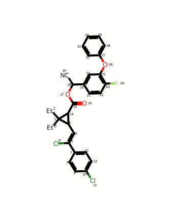 CCC1(CC)C(C=C(Cl)c2ccc(Cl)cc2)C1C(=O)OC(C#N)c1ccc(F)c(Oc2ccccc2)c1